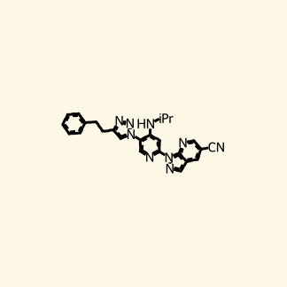 CC(C)Nc1cc(-n2ncc3cc(C#N)cnc32)ncc1-n1cc(CCc2ccccc2)nn1